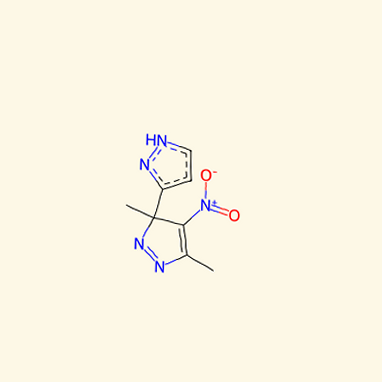 CC1=C([N+](=O)[O-])C(C)(c2cc[nH]n2)N=N1